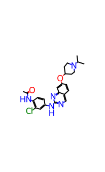 CC(=O)Nc1ccc(Nc2ncc3ccc(OC4CCN(C(C)C)CC4)cc3n2)cc1Cl